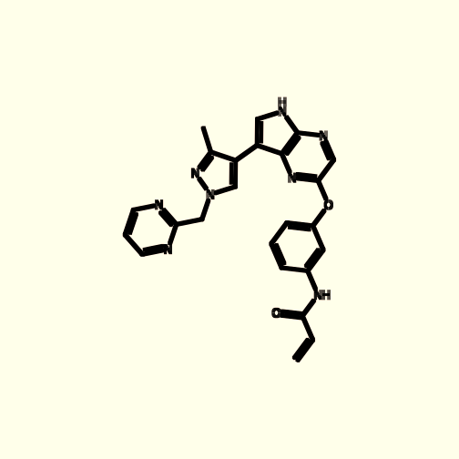 C=CC(=O)Nc1cccc(Oc2cnc3[nH]cc(-c4cn(Cc5ncccn5)nc4C)c3n2)c1